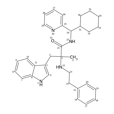 CC(Cc1c[nH]c2ccccc12)(NCCc1ccccc1)C(=O)NC(c1ccccn1)C1CCCCC1